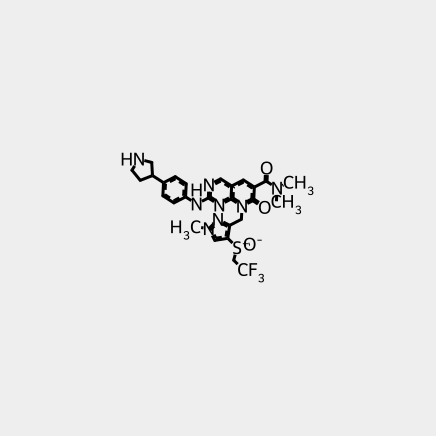 CN(C)C(=O)c1cc2cnc(Nc3ccc(C4CCNC4)cc3)nc2n(Cc2nn(C)cc2[S+]([O-])CC(F)(F)F)c1=O